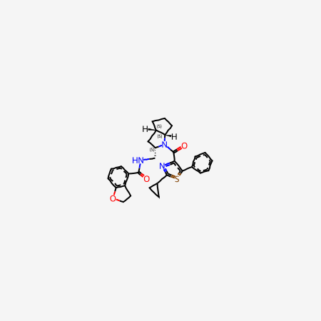 O=C(NC[C@@H]1C[C@@H]2CCC[C@@H]2N1C(=O)c1nc(C2CC2)sc1-c1ccccc1)c1cccc2c1CCO2